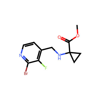 COC(=O)C1(NCc2ccnc(Br)c2F)CC1